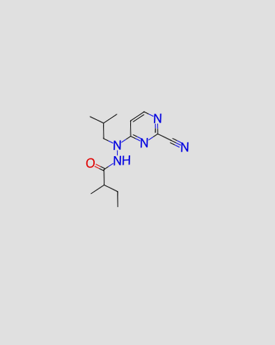 CCC(C)C(=O)NN(CC(C)C)c1ccnc(C#N)n1